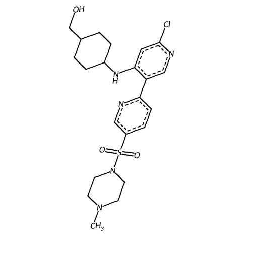 CN1CCN(S(=O)(=O)c2ccc(-c3cnc(Cl)cc3NC3CCC(CO)CC3)nc2)CC1